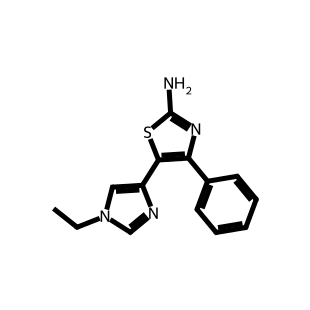 CCn1cnc(-c2sc(N)nc2-c2ccccc2)c1